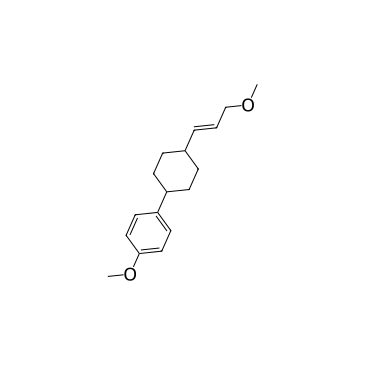 COCC=CC1CCC(c2ccc(OC)cc2)CC1